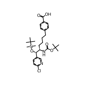 CC(C)(C)OC(=O)N[C@H](CCCCc1ccc(C(=O)O)cc1)[C@H](O[Si](C)(C)C(C)(C)C)c1ccc(Cl)nc1